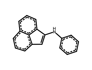 C1=C(Nc2ccccc2)c2cccc3cccc1c23